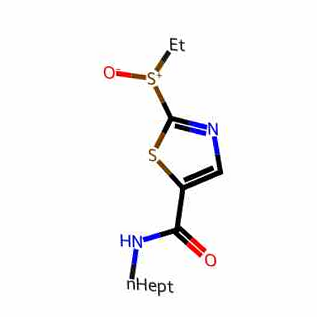 CCCCCCCNC(=O)c1cnc([S+]([O-])CC)s1